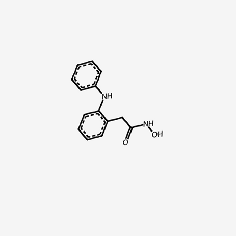 O=C(Cc1ccccc1Nc1ccccc1)NO